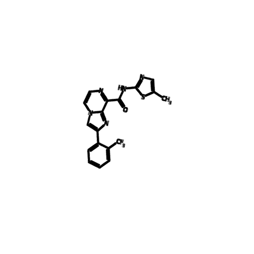 Cc1cnc(NC(=O)c2nccn3cc(-c4ccccc4C(F)(F)F)nc23)s1